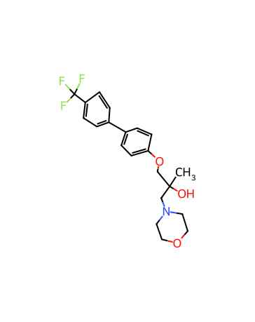 CC(O)(COc1ccc(-c2ccc(C(F)(F)F)cc2)cc1)CN1CCOCC1